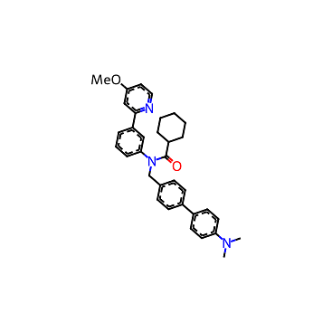 COc1ccnc(-c2cccc(N(Cc3ccc(-c4ccc(N(C)C)cc4)cc3)C(=O)C3CCCCC3)c2)c1